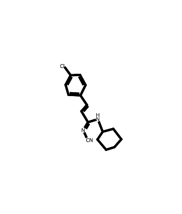 N#CN=C(C=Cc1ccc(Cl)cc1)NC1CCCCC1